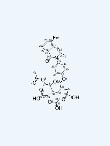 CC(=O)OC[C@H]1O[C@@H](Oc2ccc(-n3c(C)nc4c(F)cccc4c3=O)cc2)[C@@H](CC(=O)O)[C@H](CC(=O)O)[C@@H]1CC(=O)O